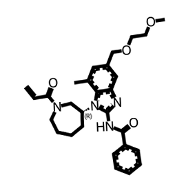 C=CC(=O)N1CCCC[C@@H](n2c(NC(=O)c3ccccc3)nc3cc(COCCOC)cc(C)c32)C1